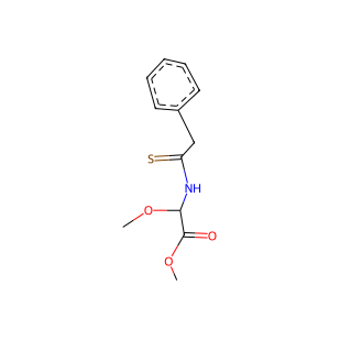 COC(=O)C(NC(=S)Cc1ccccc1)OC